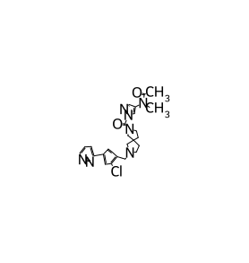 CC(=O)N(C)c1cnn(C(=O)N2CCC3(CCN(Cc4ccc(-c5cccnn5)cc4Cl)C3)C2)c1